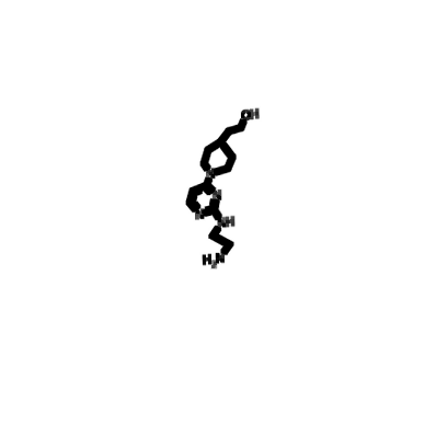 NCCNc1nccc(N2CCC(CCO)CC2)n1